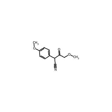 COCC(=O)C(C#N)c1ccc(OC)cc1